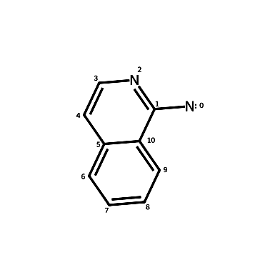 [N]c1nccc2ccccc12